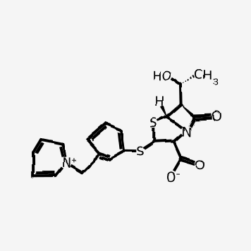 C[C@@H](O)[C@H]1C(=O)N2C(C(=O)[O-])C(Sc3cccc(C[n+]4ccccc4)c3)S[C@H]12